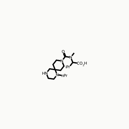 CCCN1CCNCC12CCN(C(=O)N(C)C(C(=O)O)C(C)C)CC2